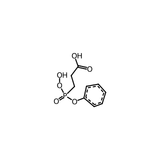 O=C(O)CCP(=O)(OO)Oc1ccccc1